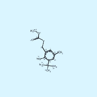 COC(=O)CCc1cc(C)cc(C(C)(C)C)c1O